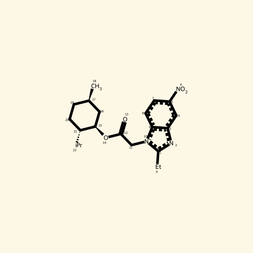 CCc1nc2cc([N+](=O)[O-])ccc2n1CC(=O)O[C@@H]1C[C@H](C)CC[C@H]1C(C)C